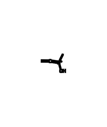 C=C=[N+](C)O